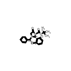 C[C@@H](c1ccccc1)N1CC(=O)N(C(=O)OC(C)(C)C)[C@@H]1c1c(Cl)cccc1Cl